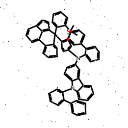 C[Si]1(C)c2ccccc2C2(c3ccccc3-c3cccc4cccc2c34)c2ccc(N(c3ccc4c(c3)c3ccccc3n4-c3ccccc3-c3ccccc3)c3ccccc3-c3ccccc3)cc21